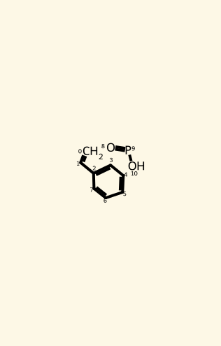 C=Cc1ccccc1.O=PO